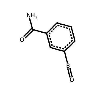 NC(=O)c1cccc(B=O)c1